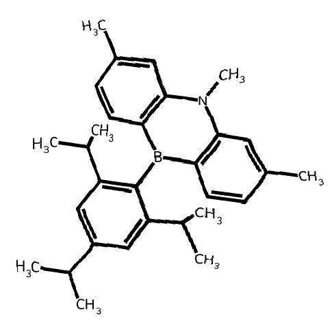 Cc1ccc2c(c1)N(C)c1cc(C)ccc1B2c1c(C(C)C)cc(C(C)C)cc1C(C)C